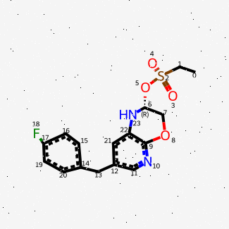 CCS(=O)(=O)O[C@@H]1COc2ncc(Cc3ccc(F)cc3)cc2N1